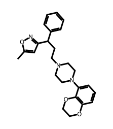 Cc1cc(C(CCN2CCN(c3cccc4c3OCCO4)CC2)c2ccccc2)no1